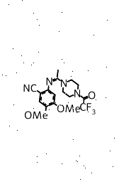 COc1cc(C#N)c(/N=C(/C)N2CCN(C(=O)C(F)(F)F)CC2)cc1OC